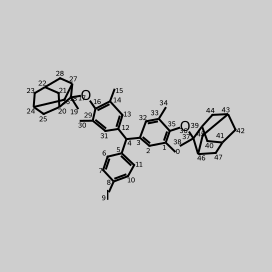 Cc1cc(C(c2ccc(I)cc2)c2cc(C)c(OC3(C)C4CC5CC(C4)CC3C5)c(C)c2)cc(C)c1OC1(C)C2CC3CC(C2)CC1C3